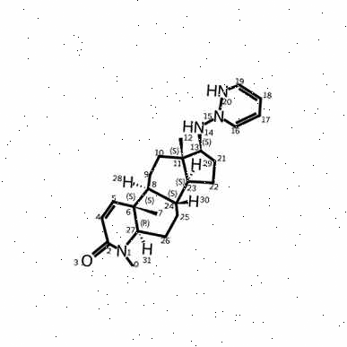 CN1C(=O)C=C[C@]2(C)[C@H]3CC[C@]4(C)[C@@H](NN5C=CC=CN5)CC[C@H]4[C@@H]3CC[C@@H]12